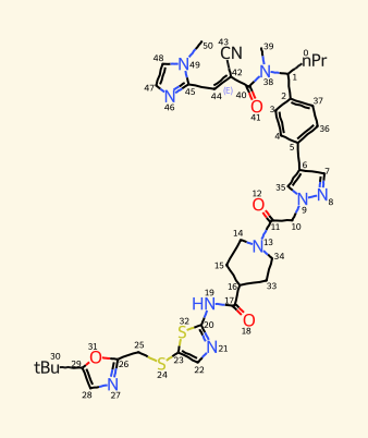 CCCC(c1ccc(-c2cnn(CC(=O)N3CCC(C(=O)Nc4ncc(SCc5ncc(C(C)(C)C)o5)s4)CC3)c2)cc1)N(C)C(=O)/C(C#N)=C/c1nccn1C